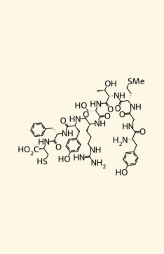 CSCC[C@H](NC(=O)CNC(=O)[C@@H](N)Cc1ccc(O)cc1)C(=O)N[C@H](C(=O)N[C@@H](CO)C(=O)N[C@@H](CCCNC(=N)N)C(=O)N[C@@H](Cc1ccc(O)cc1)C(=O)N[C@@H](Cc1ccccc1)C(=O)N[C@@H](CS)C(=O)O)[C@@H](C)O